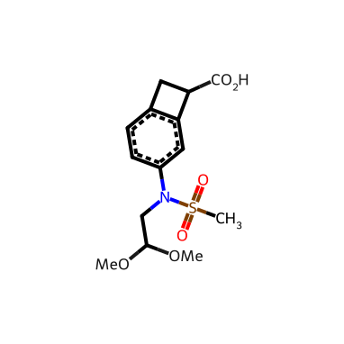 COC(CN(c1ccc2c(c1)C(C(=O)O)C2)S(C)(=O)=O)OC